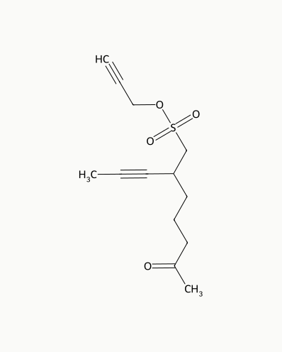 C#CCOS(=O)(=O)CC(C#CC)CCCC(C)=O